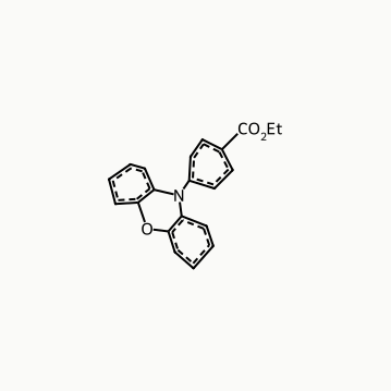 CCOC(=O)c1ccc(N2c3ccccc3Oc3ccccc32)cc1